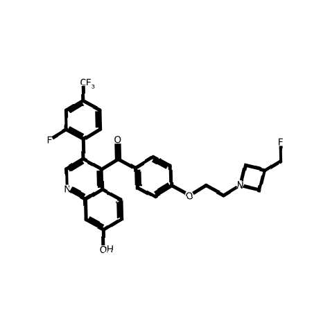 O=C(c1ccc(OCCN2CC(CF)C2)cc1)c1c(-c2ccc(C(F)(F)F)cc2F)cnc2cc(O)ccc12